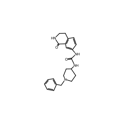 O=C(Nc1ccc2c(c1)C(=O)NCC2)NC1CCN(Cc2ccccc2)CC1